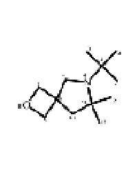 CC(C)(C)N1CC2(COC2)CC1(C)C